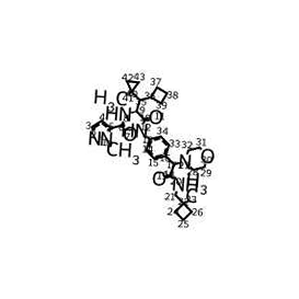 Cn1nccc1C(=O)N[C@H](C(=O)Nc1ccc(C(C(=O)NCC2(C)CCC2)N2CCOCC2)cc1)C(C1CCC1)C1(C)CC1